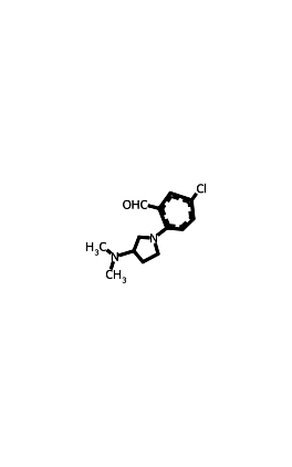 CN(C)C1CCN(c2ccc(Cl)cc2C=O)C1